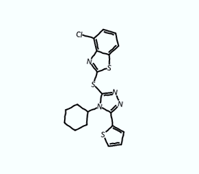 Clc1cccc2sc(Sc3nnc(-c4cccs4)n3C3CCCCC3)nc12